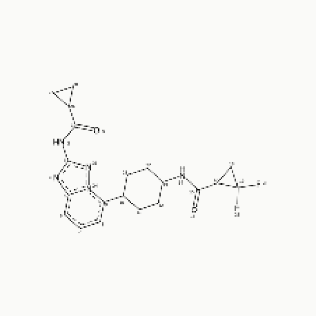 O=C(Nc1nc2cccc(C3CCC(NC(=O)C4CC4(F)F)CC3)n2n1)C1CC1